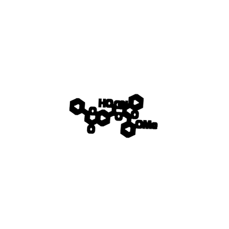 COc1ccccc1-c1oc2ccccc2c(=O)c1OC(c1ccc2c(=O)cc(-c3ccccc3)oc2c1)C(O)O